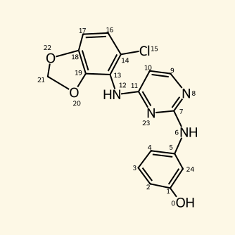 Oc1cccc(Nc2nccc(Nc3c(Cl)ccc4c3OCO4)n2)c1